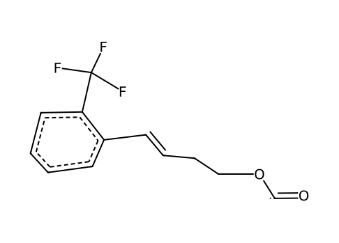 O=[C]OCCC=Cc1ccccc1C(F)(F)F